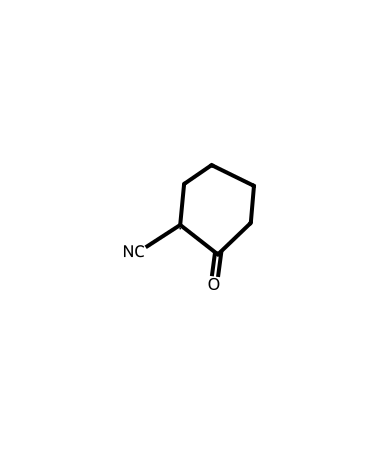 N#C[C]1CCCCC1=O